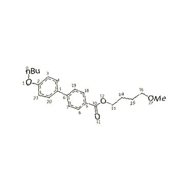 CCCCOc1ccc(-c2ccc(C(=O)OCCCCOC)cc2)cc1